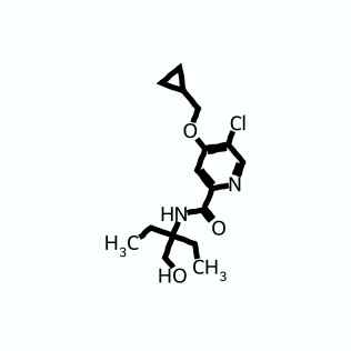 CCC(CC)(CO)NC(=O)c1cc(OCC2CC2)c(Cl)cn1